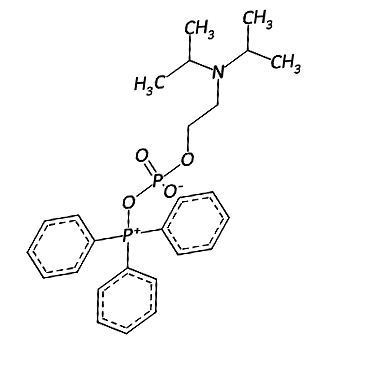 CC(C)N(CCOP(=O)([O-])O[P+](c1ccccc1)(c1ccccc1)c1ccccc1)C(C)C